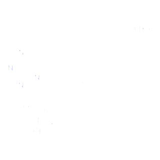 CCCCCCCCCCCCCCCCSSCCCCOP(=O)(O)COC(C)Cn1cnc2c(C)ncnc21